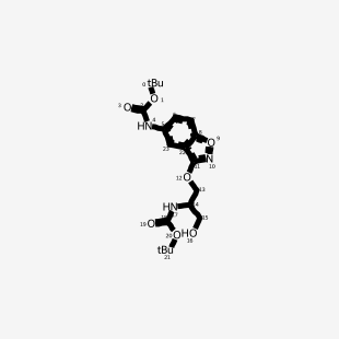 CC(C)(C)OC(=O)Nc1ccc2onc(OCC(CO)NC(=O)OC(C)(C)C)c2c1